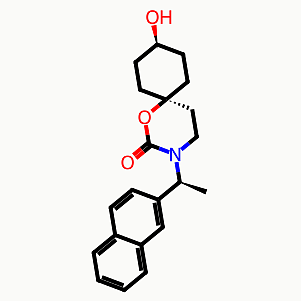 C[C@@H](c1ccc2ccccc2c1)N1CC[C@]2(CC[C@H](O)CC2)OC1=O